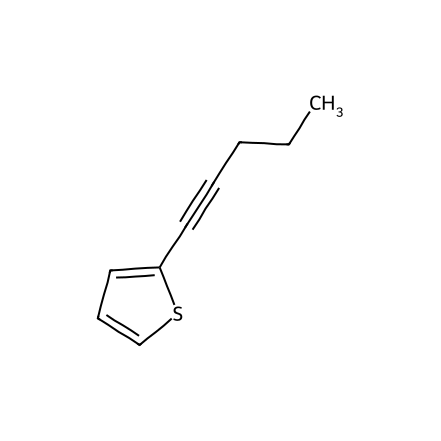 CCCC#Cc1cccs1